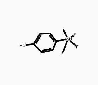 C[SH](F)(F)(F)c1ccc(O)cc1